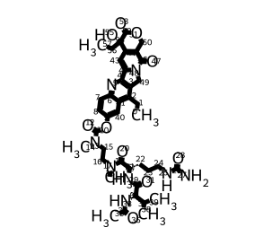 CCc1c2c(nc3ccc(OC(=O)N(C)CCN(C)C(=O)[C@H](CCCNC(N)=O)NC(=O)[C@@H](NC(C)=O)C(C)C)cc13)-c1cc3c(c(=O)n1C2)COC(=O)C3(O)CC